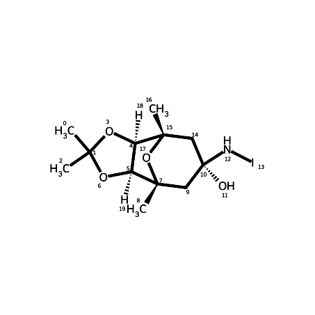 CC1(C)O[C@@H]2[C@H](O1)[C@@]1(C)C[C@](O)(NI)C[C@]2(C)O1